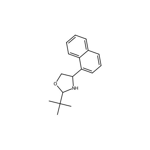 CC(C)(C)C1NC(c2cccc3ccccc23)CO1